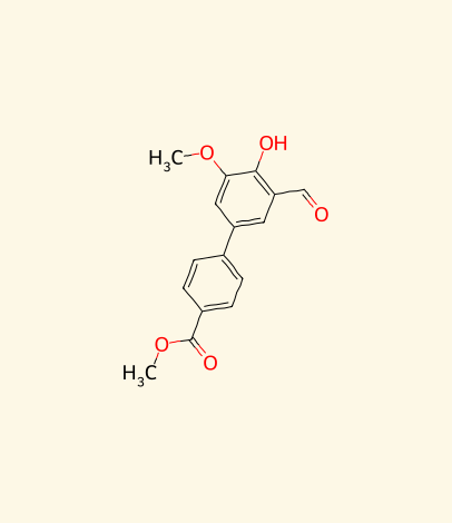 COC(=O)c1ccc(-c2cc(C=O)c(O)c(OC)c2)cc1